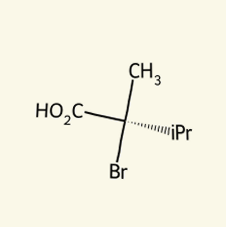 CC(C)[C@](C)(Br)C(=O)O